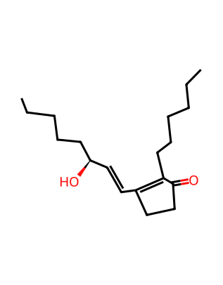 CCCCCCC1=C(/C=C/[C@@H](O)CCCCC)CCC1=O